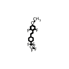 CCOc1cc(F)c(/C=C/C2CCC(C(F)(F)OC(F)(F)F)CC2)c(F)c1